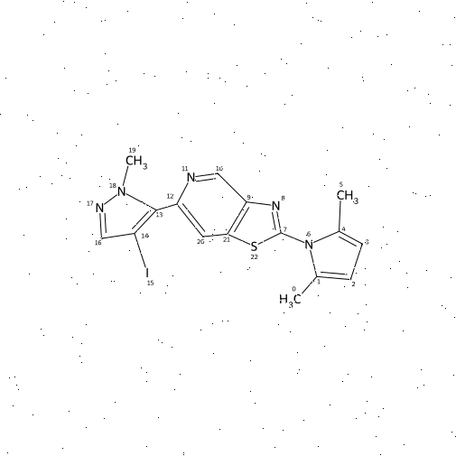 Cc1ccc(C)n1-c1nc2cnc(-c3c(I)cnn3C)cc2s1